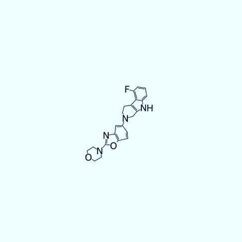 Fc1cccc2[nH]c3c(c12)CCN(c1ccc2oc(N4CCOCC4)nc2c1)C3